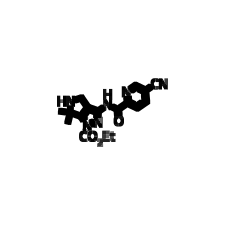 CCOC(=O)n1nc(NC(=O)c2ccc(C#N)cn2)c2c1C(C)(C)NC2